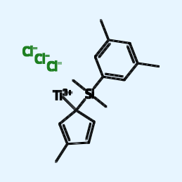 CC1=C[C]([Ti+3])([Si](C)(C)c2cc(C)cc(C)c2)C=C1.[Cl-].[Cl-].[Cl-]